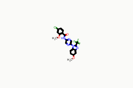 COc1cc(Cl)ccc1C(=O)Nc1cnc(-n2c(C(F)(F)F)nc3c2=CCC(OC)C=3)cn1